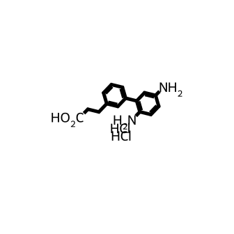 Cl.Cl.Nc1ccc(N)c(-c2cccc(CCC(=O)O)c2)c1